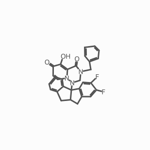 O=C1c2c(O)c(=O)ccn2N(C23c4ccccc4CC2Cc2cc(F)c(F)cc23)CN1Cc1ccccc1